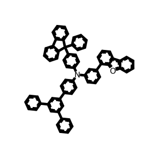 c1ccc(-c2cc(-c3ccccc3)cc(-c3ccc(N(c4ccc(C5(c6ccccc6)c6ccccc6-c6ccccc65)cc4)c4cccc(-c5cccc6c5oc5ccccc56)c4)cc3)c2)cc1